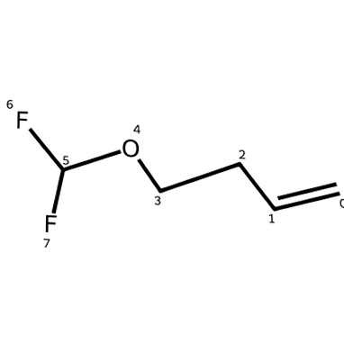 C=CCCOC(F)F